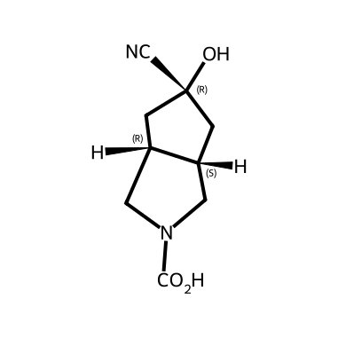 N#C[C@]1(O)C[C@H]2CN(C(=O)O)C[C@H]2C1